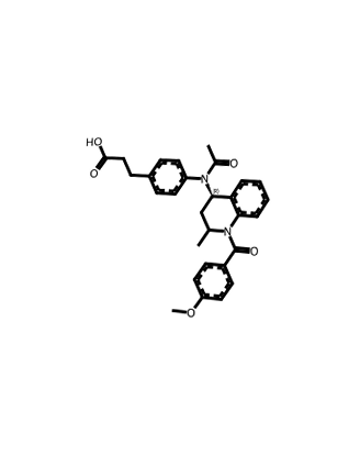 COc1ccc(C(=O)N2c3ccccc3[C@H](N(C(C)=O)c3ccc(CCC(=O)O)cc3)CC2C)cc1